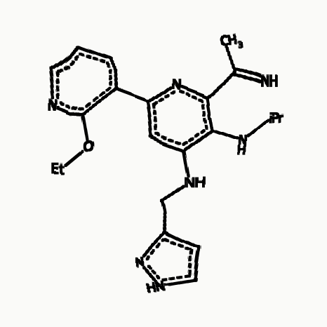 CCOc1ncccc1-c1cc(NCc2cc[nH]n2)c(NC(C)C)c(C(C)=N)n1